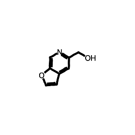 OCc1cc2ccoc2cn1